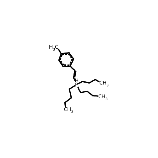 CCCC[PH](C=Cc1ccc(C)cc1)(CCCC)CCCC